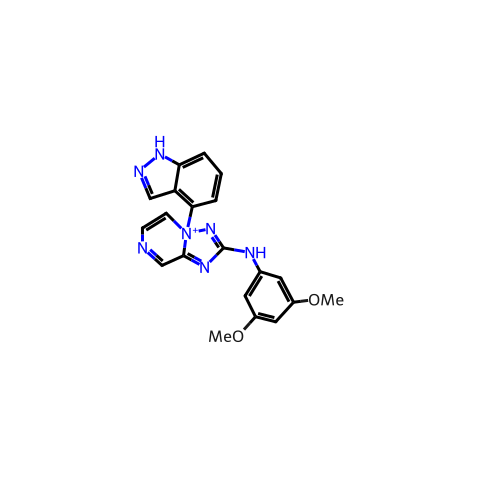 COc1cc(NC2=N[N+]3(c4cccc5[nH]ncc45)C=CN=CC3=N2)cc(OC)c1